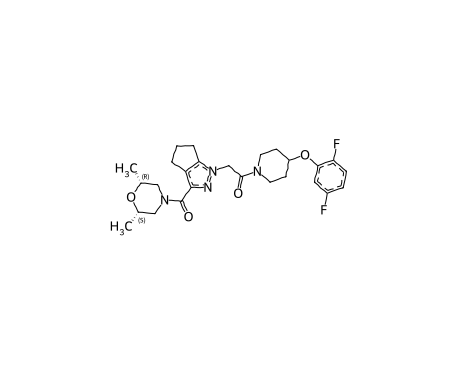 C[C@@H]1CN(C(=O)c2nn(CC(=O)N3CCC(Oc4cc(F)ccc4F)CC3)c3c2CCC3)C[C@H](C)O1